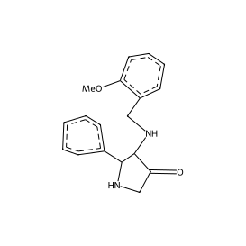 COc1ccccc1CNC1C(=O)CNC1c1ccccc1